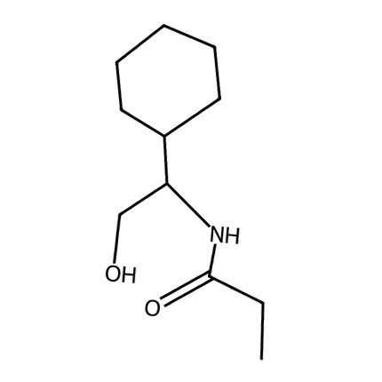 CCC(=O)NC(CO)C1CCCCC1